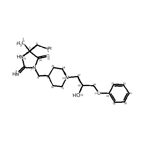 CC(C)CC1(C)NC(=N)N(CC2CCN(CC(O)COc3ccccc3)CC2)C1=O